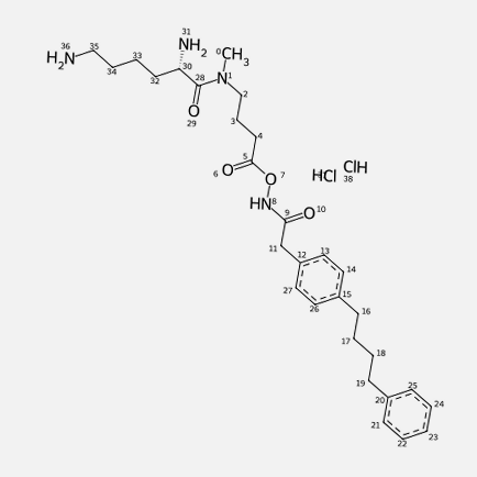 CN(CCCC(=O)ONC(=O)Cc1ccc(CCCCc2ccccc2)cc1)C(=O)[C@@H](N)CCCCN.Cl.Cl